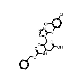 O=C(O)CC(NC(=O)OCc1ccccc1)C(=O)Cn1nnnc1Sc1ccc(Cl)cc1Cl